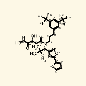 CC(C)(C)[C@@H](c1noc(-c2cccs2)n1)N(CCCc1cc(C(F)(F)F)cc(C(F)(F)F)c1)C(=O)C[C@H](O)C(=O)NO